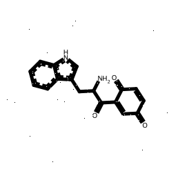 NC(Cc1c[nH]c2ccccc12)C(=O)C1=CC(=O)C=CC1=O